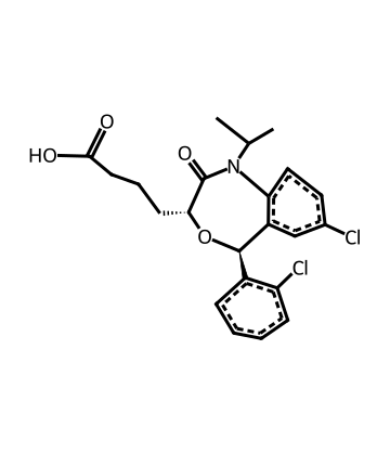 CC(C)N1C(=O)[C@@H](CCCC(=O)O)O[C@H](c2ccccc2Cl)c2cc(Cl)ccc21